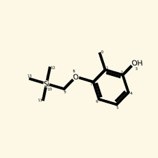 Cc1c(O)cccc1OC[Si](C)(C)C